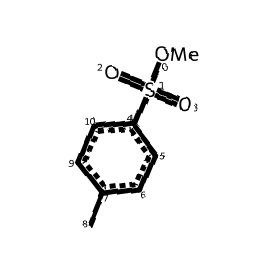 [CH]OS(=O)(=O)c1ccc(C)cc1